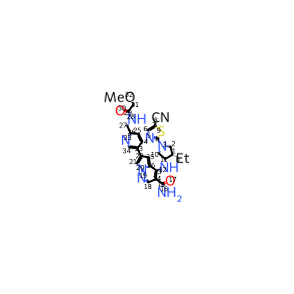 CC[C@H]1CN(c2ncc(C#N)s2)C[C@H]1Nc1c(C(N)=O)cnn2cc(-c3ccc(CNC(=O)COC)nc3)cc12